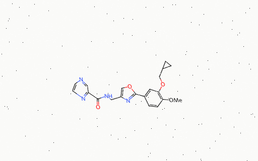 COc1ccc(-c2nc(CNC(=O)c3cnccn3)co2)cc1OCC1CC1